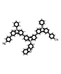 N#Cc1ccc(-c2ccc3c(c2)c2cc(-c4ccc5c(c4)c4cc(-c6ccc7c(c6)c6cc(-c8ccc(C#N)cc8)ccc6n7-c6ccccc6)ccc4n5-c4ccc5oc6ccccc6c5c4)ccc2n3-c2ccccc2)cc1